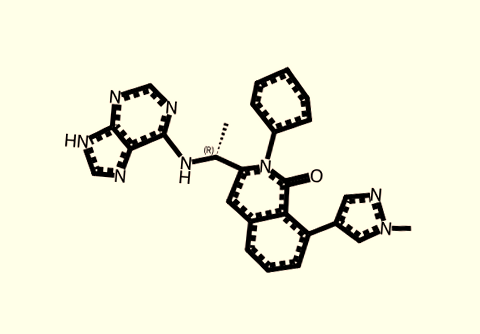 C[C@@H](Nc1ncnc2[nH]cnc12)c1cc2cccc(-c3cnn(C)c3)c2c(=O)n1-c1ccccc1